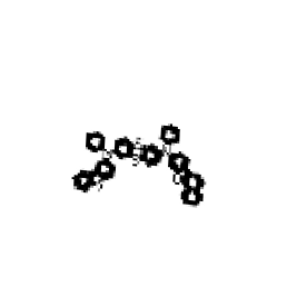 c1ccc(N(c2ccc3c(c2)Sc2ccc(N(c4ccccc4)c4ccc5sc6ccccc6c5c4)cc2S3)c2ccc3c(c2)oc2c4ccccc4ccc32)cc1